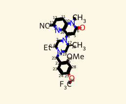 CC[C@@H]1CN(c2cc(=O)n(C)c3ccc(C#N)nc23)[C@@H](C)CN1Cc1ccc(OC(F)(F)F)cc1OC